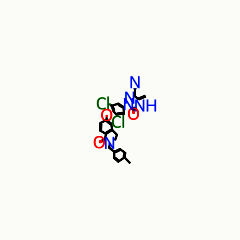 C=C1NC(=O)N(c2cc(Cl)c(Oc3ccc4c(c3)CCN(Cc3ccc(C)cc3)C4=O)c(Cl)c2)N=C1C#N